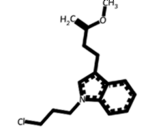 C=C(CCc1cn(CCCCl)c2ccccc12)OC